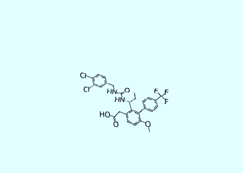 CCC(NC(=O)NCc1ccc(Cl)c(Cl)c1)c1c(CC(=O)O)ccc(OC)c1-c1ccc(C(F)(F)F)cc1